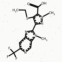 CCSc1c(-c2nc3cc(C(F)(F)F)ncc3n2C)nn(C)c1C(=O)O